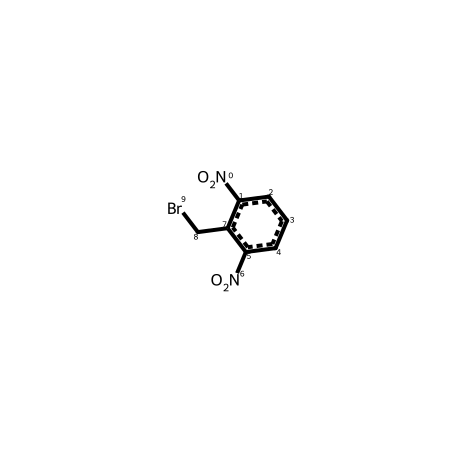 O=[N+]([O-])c1cccc([N+](=O)[O-])c1CBr